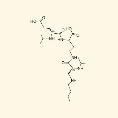 CCCCNC[C@H](NC(C)C)C(=O)NCCC(NC(=O)[C@H](CCC(=O)O)NC(C)C)C(=O)O